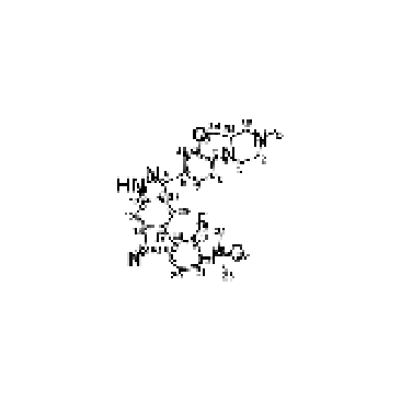 CN1CCN2c3ccc(-c4n[nH]c5cc(C#N)c(-c6cccc(P(C)(C)=O)c6F)cc45)cc3OCC2C1